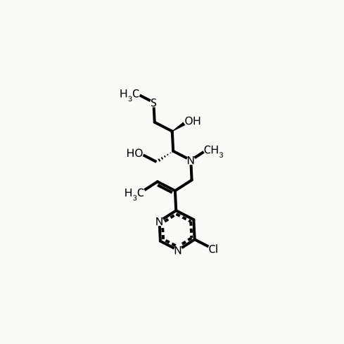 C/C=C(/CN(C)[C@H](CO)[C@H](O)CSC)c1cc(Cl)ncn1